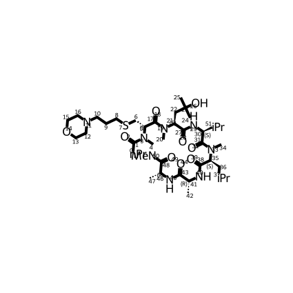 CCCC(=O)N(C)[C@H](CSCCCN1CCOCC1)C(=O)N(C)[C@@H](CC(C)(C)O)C(=O)N[C@H](C(=O)N(C)[C@@H](CC(C)C)C(=O)N[C@H](C)C(=O)N[C@H](C)C(=O)NC)C(C)C